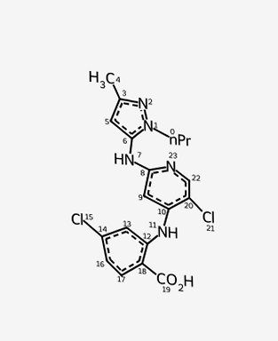 CCCn1nc(C)cc1Nc1cc(Nc2cc(Cl)ccc2C(=O)O)c(Cl)cn1